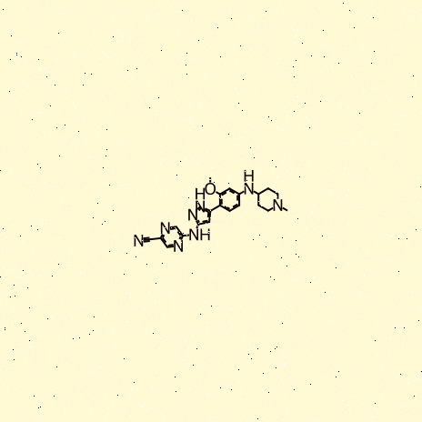 COc1cc(NC2CCN(C)CC2)ccc1-c1cc(Nc2cnc(C#N)cn2)n[nH]1